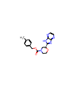 Cc1ccc(COC(=O)N2CCO[C@H](c3nc4nccnc4[nH]3)C2)cc1